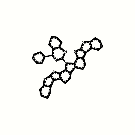 c1ccc(-c2nc(-n3c4c(ccc5c4sc4sc6ccccc6c45)c4ccc5c(sc6sc7ccccc7c65)c43)nc3ccccc23)cc1